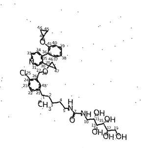 C[C@@H](CCCCNC(=O)NC[C@H](O)[C@@H](O)[C@H](O)[C@H](O)CO)c1ccc(Cl)c(COC2(c3cnccc3-c3ccccc3OC3CC3)CC2)c1